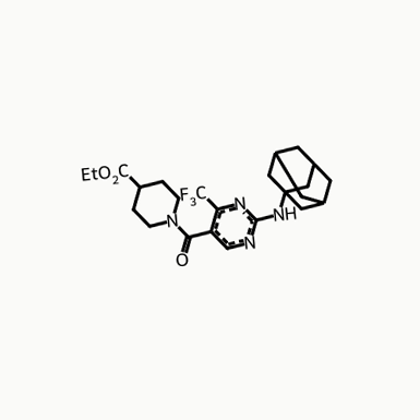 CCOC(=O)C1CCN(C(=O)c2cnc(NC34CC5CC(CC(C5)C3)C4)nc2C(F)(F)F)CC1